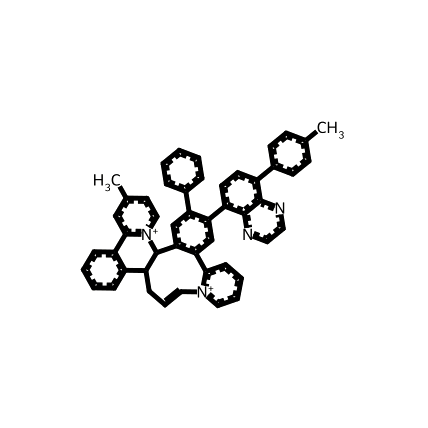 Cc1ccc(-c2ccc(-c3cc4c(cc3-c3ccccc3)C3C(C/C=C/[n+]5ccccc5-4)c4ccccc4-c4cc(C)cc[n+]43)c3nccnc23)cc1